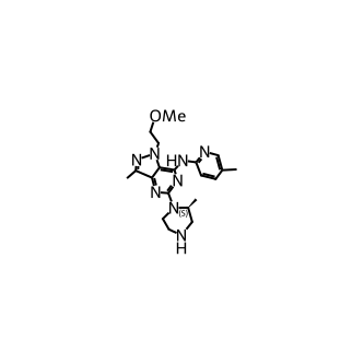 COCCn1nc(C)c2nc(N3CCNC[C@@H]3C)nc(Nc3ccc(C)cn3)c21